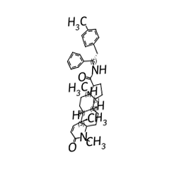 Cc1ccc(C[C@H](NC(=O)C2CC[C@H]3[C@@H]4CCC5N(C)C(=O)C=C[C@]5(C)[C@@H]4CC[C@]23C)c2ccccc2)cc1